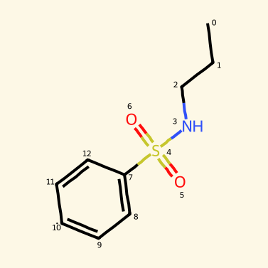 CCCNS(=O)(=O)c1cc[c]cc1